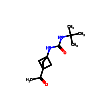 CC(=O)C12CC(NC(=O)NC(C)(C)C)(C1)C2